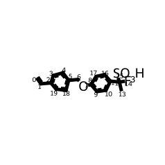 C=Cc1ccc(COc2ccc(C(C)(F)S(=O)(=O)O)cc2)cc1